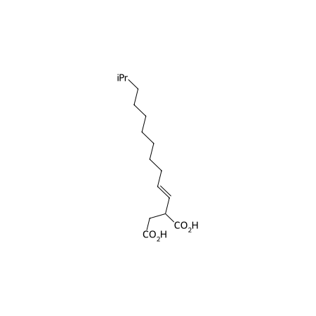 CC(C)CCCCCCCC=CC(CC(=O)O)C(=O)O